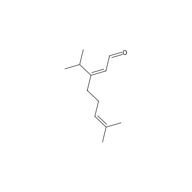 CC(C)=CCCC(=CC=O)C(C)C